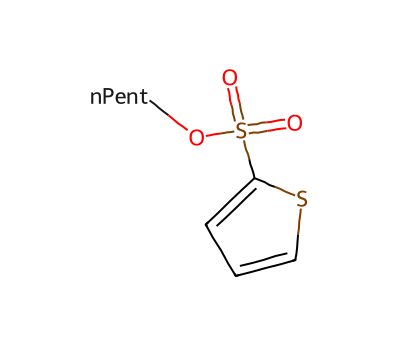 CCCCCOS(=O)(=O)c1cccs1